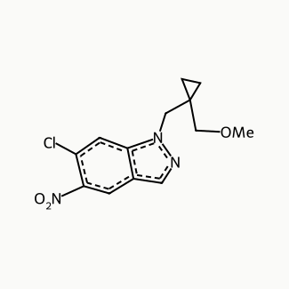 COCC1(Cn2ncc3cc([N+](=O)[O-])c(Cl)cc32)CC1